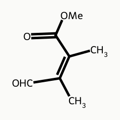 COC(=O)/C(C)=C(/C)C=O